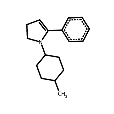 CC1CCC(N2CCC=C2c2ccccc2)CC1